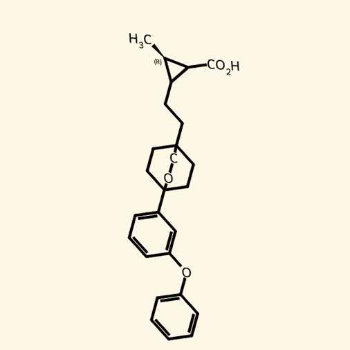 C[C@@H]1C(CCC23CCC(c4cccc(Oc5ccccc5)c4)(CC2)OC3)C1C(=O)O